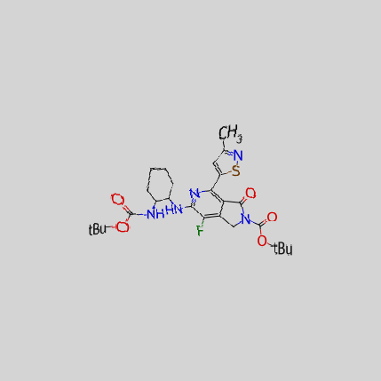 Cc1cc(-c2nc(N[C@@H]3CCCC[C@@H]3NC(=O)OC(C)(C)C)c(F)c3c2C(=O)N(C(=O)OC(C)(C)C)C3)sn1